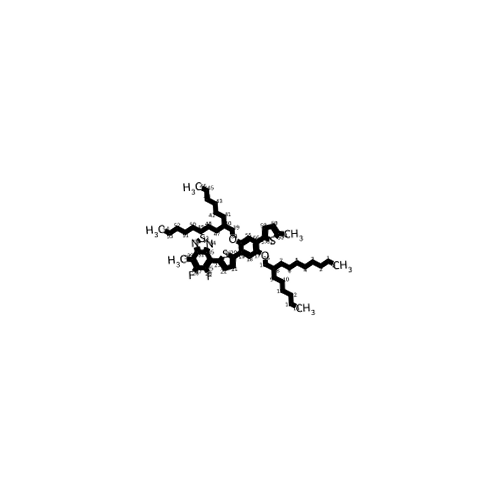 CCCCCCCCC(CCCCCC)COc1cc(-c2ccc(-c3c(F)c(F)c(C)c4nsnc34)s2)c(OCC(CCCCCC)CCCCCCCC)cc1-c1ccc(C)s1